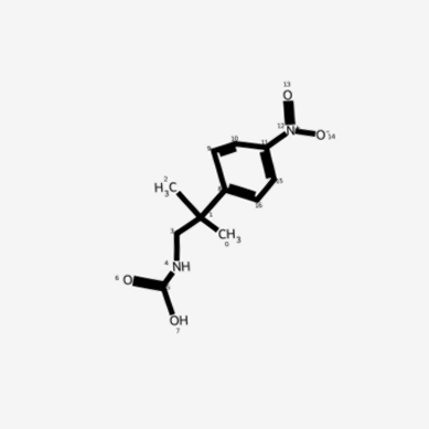 CC(C)(CNC(=O)O)c1ccc([N+](=O)[O-])cc1